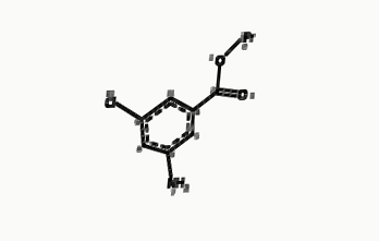 CC(C)OC(=O)c1cc(N)cc(Cl)c1